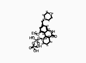 CCOc1cc(CN2CCOCC2)cc2[nH]c(=O)c3c(c12)N(OP(=O)(O)OP(=O)(O)O)CCC3